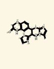 CC1=CN=C2SC(c3ccc4c(c3)NC(=O)CO4)C(c3nccs3)N[N+]12